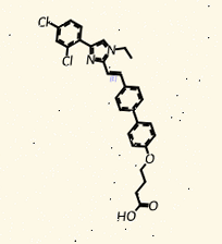 CCn1cc(-c2ccc(Cl)cc2Cl)nc1/C=C/c1ccc(-c2ccc(OCCCC(=O)O)cc2)cc1